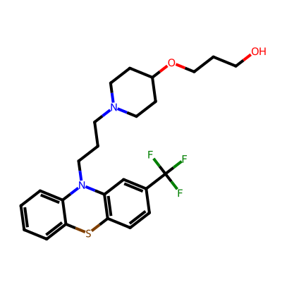 OCCCOC1CCN(CCCN2c3ccccc3Sc3ccc(C(F)(F)F)cc32)CC1